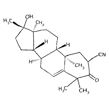 CC1(C)C(=O)C(C#N)C[C@@]2(C)C1=CC[C@@H]1[C@@H]2CC[C@@]2(C)[C@H]1CC[C@]2(C)O